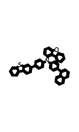 c1ccc2c(-c3ccc(N(c4ccc(-c5ccc6c(c5)sc5ccccc56)cc4)c4cccc5oc6ccccc6c45)cc3)cccc2c1